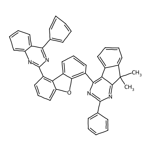 CC1(C)c2ccccc2-c2c(-c3cccc4c3oc3cccc(-c5nc(-c6ccccc6)c6ccccc6n5)c34)nc(-c3ccccc3)nc21